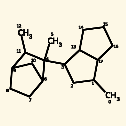 CC1CC(C2(C)C3CCC(C3)C2C)C2CCCC12